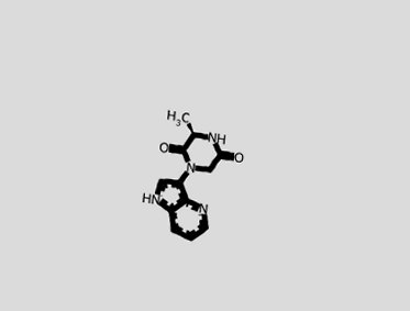 C[C@H]1NC(=O)CN(c2c[nH]c3cccnc23)C1=O